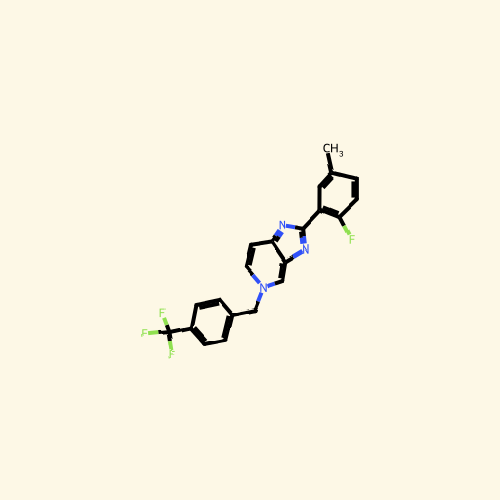 Cc1ccc(F)c(-c2nc3ccn(Cc4ccc(C(F)(F)F)cc4)cc-3n2)c1